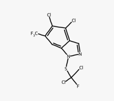 FC(Cl)(Cl)Sn1ncc2c(Cl)c(Cl)c(C(F)(F)F)cc21